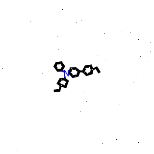 C=Cc1ccc(-c2ccc(N(c3ccccc3)c3ccc(C=C)cc3)cc2)cc1